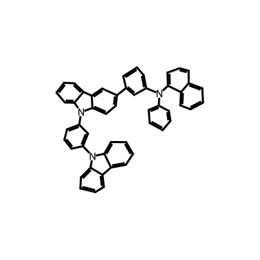 c1ccc(N(c2cccc(-c3ccc4c(c3)c3ccccc3n4-c3cccc(-n4c5ccccc5c5ccccc54)c3)c2)c2cccc3ccccc23)cc1